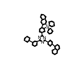 c1ccc(-c2cccc(-c3nc(-c4ccc(-c5cccc6ccccc56)cc4)nc(-c4ccc5c(c4)[Si](c4ccccc4)(c4ccccc4)c4cc6ccccc6cc4-5)n3)c2)cc1